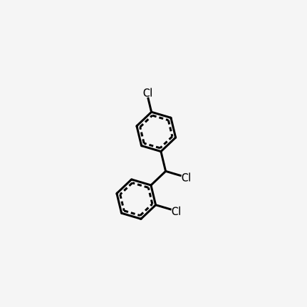 Clc1ccc(C(Cl)c2ccccc2Cl)cc1